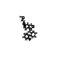 COCCOc1cc(C=O)c(OCC2CCCCC2c2ccccc2F)cn1